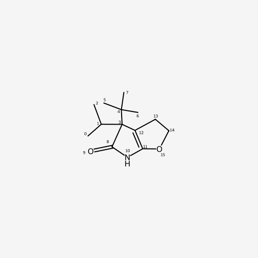 CC(C)C1(C(C)(C)C)C(=O)NC2=C1CCO2